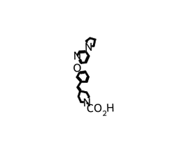 O=C(O)N1CCC(=Cc2cccc(Oc3ccc(N4CCCC4)cn3)c2)CC1